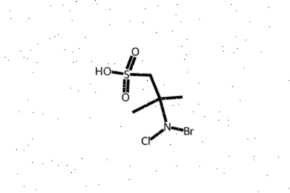 CC(C)(CS(=O)(=O)O)N(Cl)Br